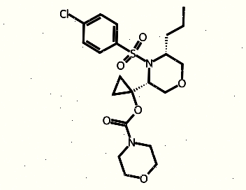 CCC[C@@H]1COC[C@H](C2(OC(=O)N3CCOCC3)CC2)N1S(=O)(=O)c1ccc(Cl)cc1